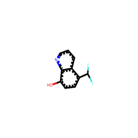 Oc1ccc(C(F)F)c2cccnc12